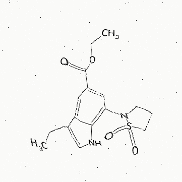 CCOC(=O)c1cc(N2CCCS2(=O)=O)c2[nH]cc(CC)c2c1